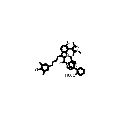 Cc1cc(CCCCc2c(C(=O)N3CCN(c4ccccc4C(=O)O)CC3)n(Cc3cccnc3)c3c(-c4c(C)nn(C)c4C)c(Cl)ccc23)cc(C)c1Cl